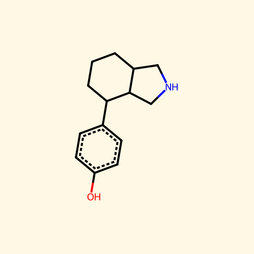 Oc1ccc(C2CCCC3CNCC32)cc1